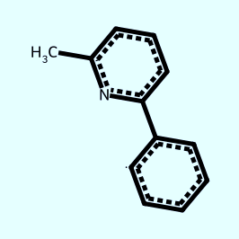 Cc1cccc(-c2[c]cccc2)n1